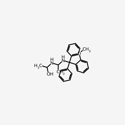 COc1ccccc1C(NC(C)NC(C)O)(c1ccccc1)c1ccccc1